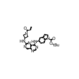 C=CC(=O)N1CC(Nc2ncc3ncnc(Nc4ccc5c(ccn5C(=O)OC(C)(C)C)c4)c3n2)C1